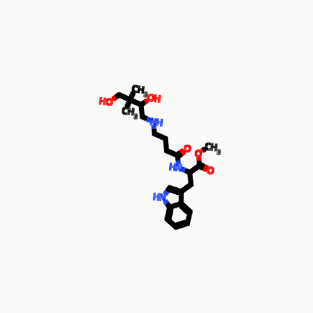 COC(=O)C(Cc1c[nH]c2ccccc12)NC(=O)CCCNCC(O)C(C)(C)CO